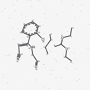 CCCC.CCOC(C)OCC.N#C/C=C(\NCC=O)c1ccccc1Cl